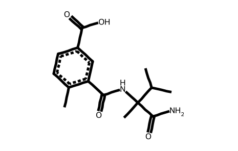 Cc1ccc(C(=O)O)cc1C(=O)NC(C)(C(N)=O)C(C)C